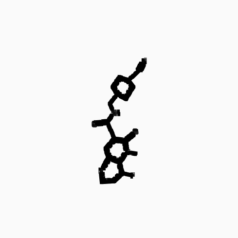 Cn1c(=O)c(C(=O)NCc2ccc(C#N)cc2)cc2nccc(F)c21